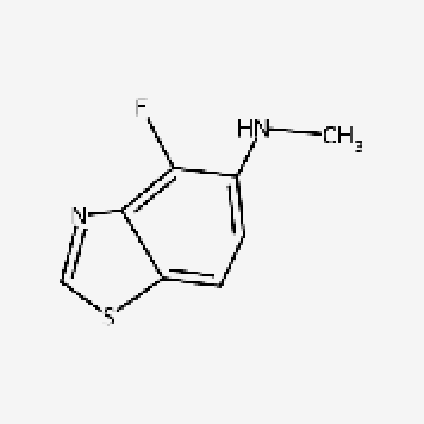 CNc1ccc2scnc2c1F